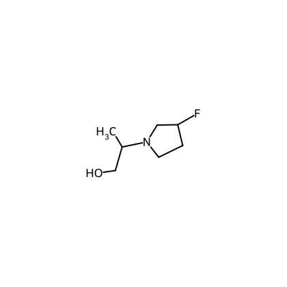 CC(CO)N1CCC(F)C1